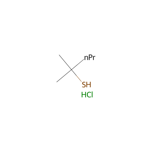 CCCC(C)(C)S.Cl